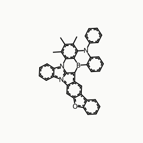 Cc1c(C)c2c3c(c1C)-n1c4ccccc4n4c5cc6oc7ccccc7c6cc5c(c14)B3c1ccccc1N2c1ccccc1